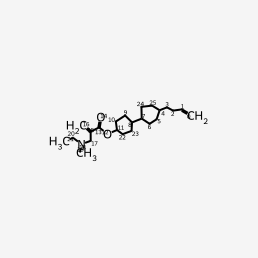 C=CCCC1CCC(C2CCC(OC(=O)C(=C)CN(C)CC)CC2)CC1